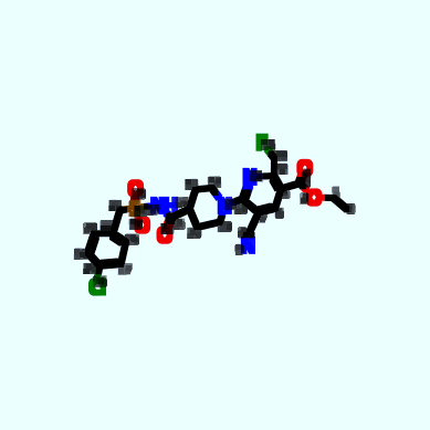 CCOC(=O)c1cc(C#N)c(N2CCC(C(=O)NS(=O)(=O)Cc3ccc(Cl)cc3)CC2)nc1CF